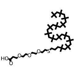 CC(C)(C)CC(C)(C)CC(C)(C)CC(C)(C)CC(C)(C)CC(C)(C)CC(C)(C)CC(C)(C)CC(C)(C)CC(C)(C)CC(C)(C)CC(C)(C)CC(C)(C)CCCSCCOCCOCCOCCC(=O)O